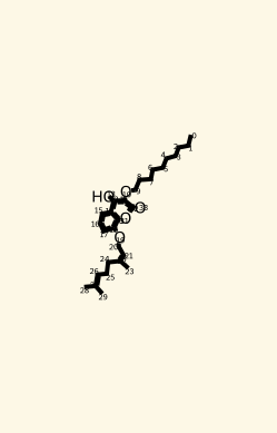 CCCCCCCCCCOc1c(O)c2cccc(OCC=C(C)CCC=C(C)C)c2oc1=O